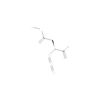 CC(C)(C)OC(=O)C[C@H](N=[N+]=[N-])C(=O)Cl